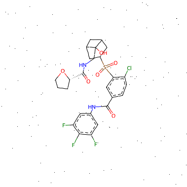 O=C(Nc1cc(F)c(F)c(F)c1)c1ccc(Cl)c(S(=O)(=O)C2CC3CC(C2)C3(O)CNC(=O)[C@@H]2CCCO2)c1